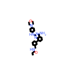 C=CC(=O)NCc1cccc(-c2cccc3c(N)nc(Nc4ccc(N5CCOCC5)cc4)nc23)c1